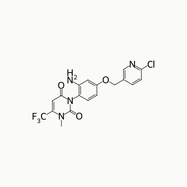 Cn1c(C(F)(F)F)cc(=O)n(-c2ccc(OCc3ccc(Cl)nc3)cc2N)c1=O